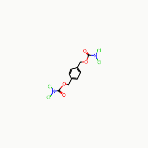 O=C(OCc1ccc(COC(=O)N(Cl)Cl)cc1)N(Cl)Cl